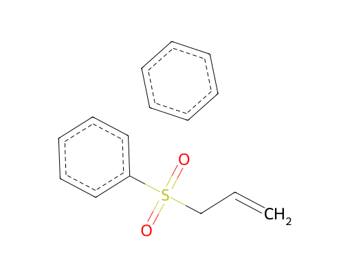 C=CCS(=O)(=O)c1ccccc1.c1ccccc1